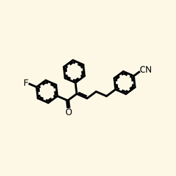 N#Cc1ccc(CCC=C(C(=O)c2ccc(F)cc2)c2ccccc2)cc1